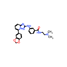 CN(C)CCNC(=O)c1cccc(Nc2nc3cccc(-c4ccc5c(c4)OCO5)n3n2)c1